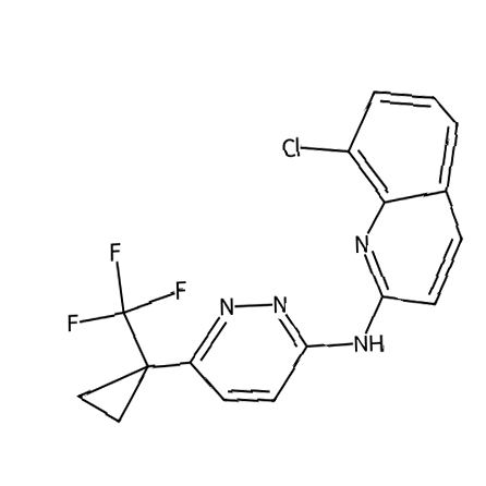 FC(F)(F)C1(c2ccc(Nc3ccc4cccc(Cl)c4n3)nn2)CC1